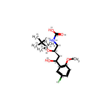 COc1ccc(F)cc1C(O)C[C@H](CNC(=O)O)O[Si](C)(C)C(C)(C)C